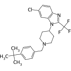 CC(C)(C)c1ccc(CN2CCC(n3c(C(F)(F)F)nc4ccc(Cl)cc43)CC2)cc1